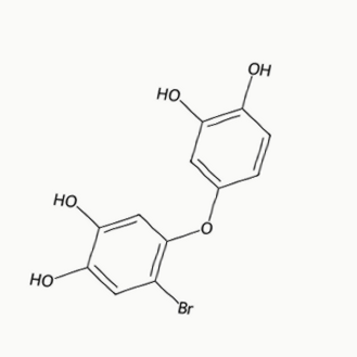 Oc1ccc(Oc2cc(O)c(O)cc2Br)cc1O